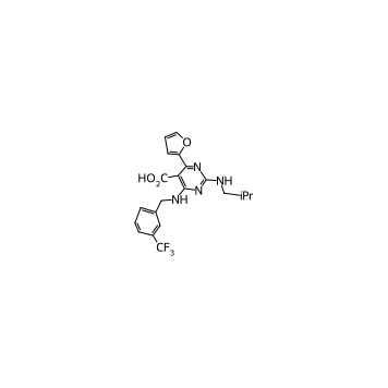 CC(C)CNc1nc(NCc2cccc(C(F)(F)F)c2)c(C(=O)O)c(-c2ccco2)n1